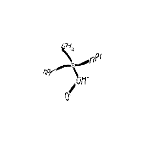 CCCS(C)(CCC)[OH+][O-]